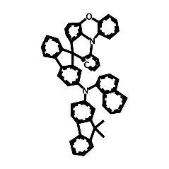 CC1(C)c2ccccc2-c2ccc(N(c3ccc4c(c3)C3(c5ccccc5-4)c4ccccc4N4c5ccccc5Oc5cccc3c54)c3cccc4ccccc34)cc21